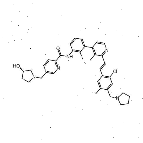 Cc1cc(/C=C/c2nccc(-c3cccc(NC(=O)c4ccc(CN5CC[C@@H](O)C5)cn4)c3C)c2C)c(Cl)cc1CN1CCCC1